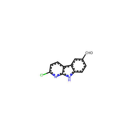 O=Cc1ccc2[nH]c3nc(Cl)ccc3c2c1